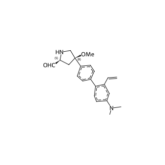 C=Cc1cc(N(C)C)ccc1-c1ccc([C@@]2(OC)CN[C@H](C=O)C2)cc1